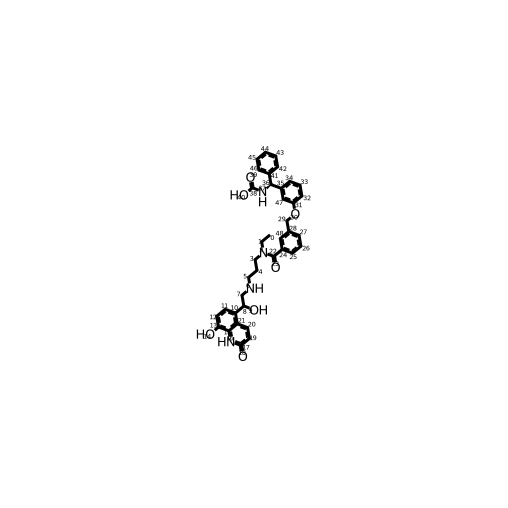 CCN(CCCNCC(O)c1ccc(O)c2[nH]c(=O)ccc12)C(=O)c1cccc(COc2cccc([C@@H](NC(=O)O)c3ccccc3)c2)c1